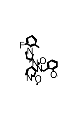 COc1ccccc1Cn1c(=O)n([C@@H]2CCN(c3c(C)cccc3F)C2)c2ccnc(OC)c21